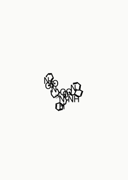 O=C(NC(Cc1ccccc1)C(=O)N[C@H]1CCCN(S(=O)(=O)c2ccccn2)CC1=O)c1cccc2cccnc12